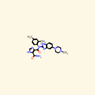 Cc1ccc(N(C(=O)c2nc[nH]c2C(N)=O)c2nc3cc(N4CCN(C)CC4)ccc3[nH]2)c(C)c1